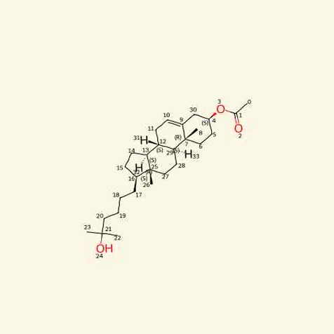 CC(=O)O[C@H]1CC[C@@]2(C)C(=CC[C@H]3[C@@H]4CC[C@H](CCCCC(C)(C)O)[C@@]4(C)CC[C@@H]32)C1